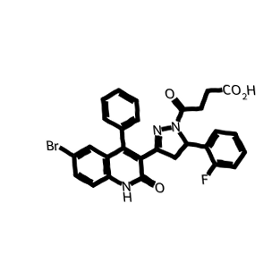 O=C(O)CCC(=O)N1N=C(c2c(-c3ccccc3)c3cc(Br)ccc3[nH]c2=O)CC1c1ccccc1F